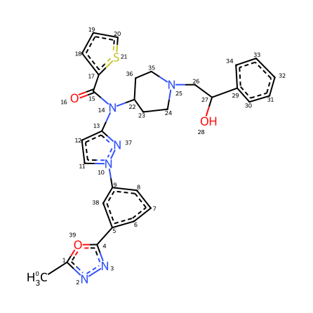 Cc1nnc(-c2cccc(-n3ccc(N(C(=O)c4cccs4)C4CCN(CC(O)c5ccccc5)CC4)n3)c2)o1